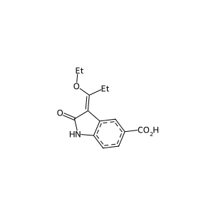 CCO/C(CC)=C1\C(=O)Nc2ccc(C(=O)O)cc21